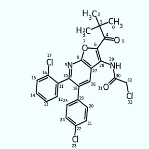 CC(C)(C)C(=O)c1oc2nc(-c3ccccc3Cl)c(-c3ccc(Cl)cc3)cc2c1NC(=O)CCl